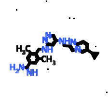 Cc1cc(C(=N)N)cc(C)c1CNc1cc(NCc2cn3cc(C4CC4)ccc3n2)cnn1